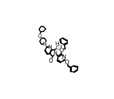 CC1c2nc(N3CCC(OC4CCCCC4)CC3)ccc2C(=O)N1c1ccc(OCc2ccccc2)nc1OCc1ccccc1